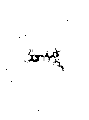 COc1cc(CNC(=O)C(=O)C2CC(F)(F)CN2C(=O)CNC=O)ccc1C